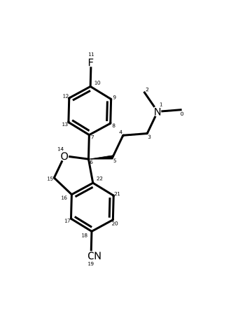 CN(C)CCC[C@]1(c2ccc(F)cc2)OCc2cc(C#N)ccc21